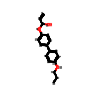 C=CC(O)Oc1ccc(-c2ccc(OCCC)cc2)cc1